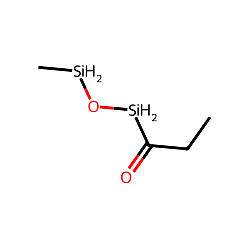 CCC(=O)[SiH2]O[SiH2]C